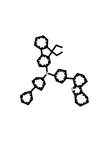 CCC1(CC)c2ccccc2-c2ccc(N(c3ccc(-c4ccccc4)cc3)c3ccc(-c4cccc5c4sc4ccccc45)cc3)cc21